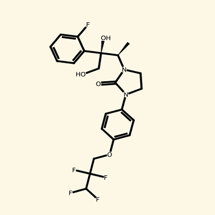 C[C@@H](N1CCN(c2ccc(OCC(F)(F)C(F)F)cc2)C1=O)[C@](O)(CO)c1ccccc1F